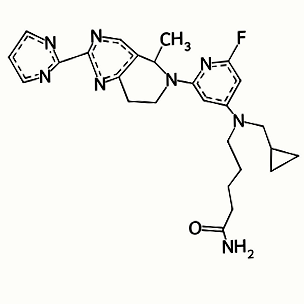 CC1c2cnc(-c3ncccn3)nc2CCN1c1cc(N(CCCCC(N)=O)CC2CC2)cc(F)n1